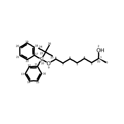 C[C@H](O)CCCCCCO[Si](c1ccccc1)(c1ccccc1)C(C)(C)C